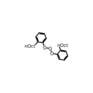 CCCCCCCCc1ccccc1OOOc1ccccc1CCCCCCCC